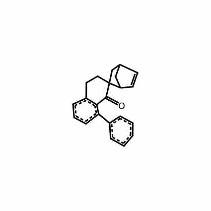 O=C1c2c(cccc2-c2ccccc2)CCC12CC1C=CC2C1